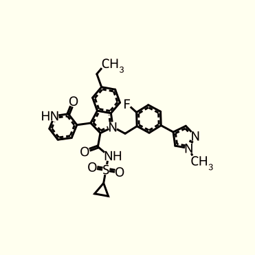 CCc1ccc2c(c1)c(-c1ccc[nH]c1=O)c(C(=O)NS(=O)(=O)C1CC1)n2Cc1cc(-c2cnn(C)c2)ccc1F